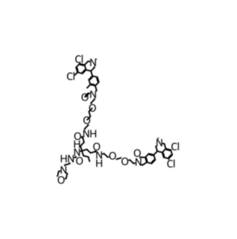 CCCC(CCC(=O)NCCOCCOCCN(C=O)Cc1ccc(C2CN(C)Cc3c(Cl)cc(Cl)cc32)cc1C)(CCC(=O)NCCOCCOCCN1Cc2ccc(C3CN(C)Cc4c(Cl)cc(Cl)cc43)cc2C1=O)NC(=O)NCCN1CCOCC1